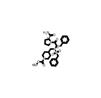 CC(C)(C)OC(=O)N1CCC(CN([C@H](Cc2ccccc2)C(=O)N2CCC[C@H]2C(N)=O)S(=O)(=O)Cc2ccccc2)CC1